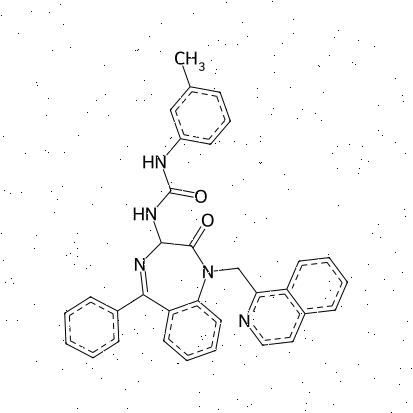 Cc1cccc(NC(=O)NC2N=C(c3ccccc3)c3ccccc3N(Cc3nccc4ccccc34)C2=O)c1